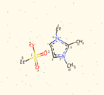 CCS(=O)(=O)[O-].CC[n+]1ccn(C)c1C